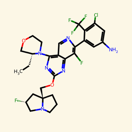 CC[C@@H]1COCCN1c1nc(OC[C@@]23CCCN2C[C@H](F)C3)nc2c(F)c(-c3cc(N)cc(Cl)c3C(F)(F)F)ncc12